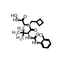 CC(C)(C)[C@H](NC(=O)Nc1ccccc1Cl)C(=O)N(CC(=O)NO)CC1CCC1